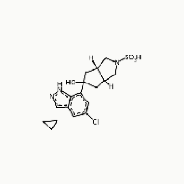 C1CC1.O=S(=O)(O)N1C[C@@H]2CC(O)(c3cc(Cl)cc4cn[nH]c34)C[C@@H]2C1